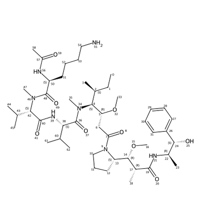 CC[C@H](C)[C@@H]([C@@H](CC(=O)N1CCC[C@H]1[C@H](OC)[C@@H](C)C(=O)N[C@H](C)[C@@H](O)c1ccccc1)OC)N(C)C(=O)[C@@H](NC(=O)[C@H](C(C)C)N(C)C(=O)[C@H](CCCCN)NC(C)=O)C(C)C